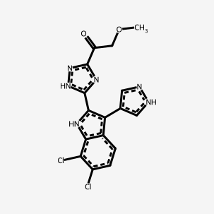 COCC(=O)c1n[nH]c(-c2[nH]c3c(Cl)c(Cl)ccc3c2-c2cn[nH]c2)n1